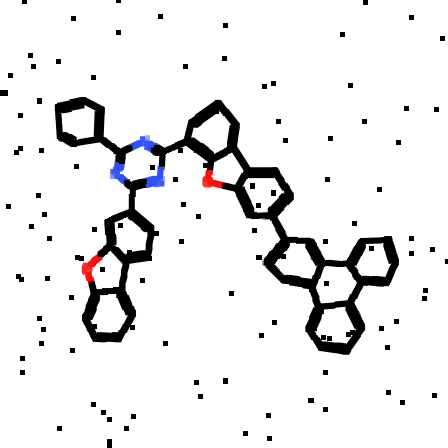 c1ccc(-c2nc(-c3ccc4c(c3)oc3ccccc34)nc(-c3cccc4c3oc3cc(-c5ccc6c7ccccc7c7ccccc7c6c5)ccc34)n2)cc1